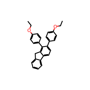 CCOc1ccc(-c2ccc3c(c2-c2ccc(OCC)cc2)Cc2ccccc2-3)cc1